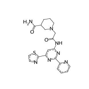 NC(=O)C1CCCN(CC(=O)Nc2cc(-c3nccs3)nc(-c3ccccn3)n2)C1